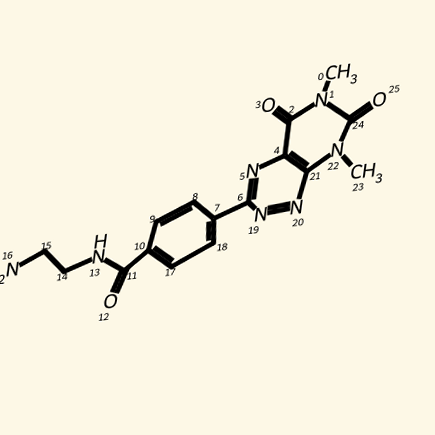 Cn1c(=O)c2nc(-c3ccc(C(=O)NCCN)cc3)nnc2n(C)c1=O